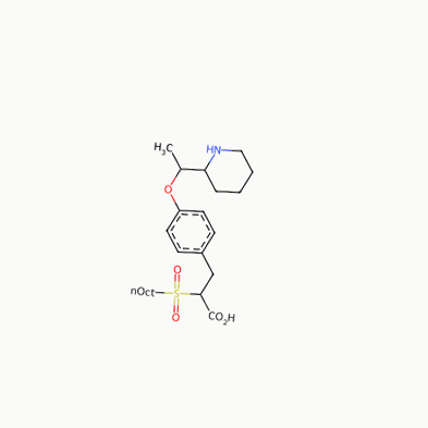 CCCCCCCCS(=O)(=O)C(Cc1ccc(OC(C)C2CCCCN2)cc1)C(=O)O